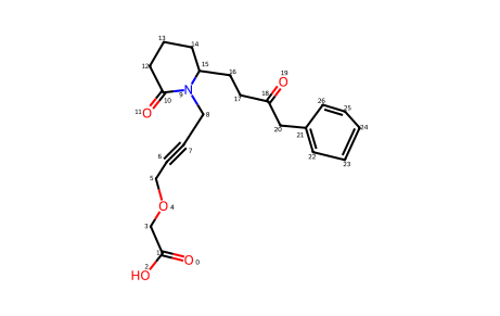 O=C(O)COCC#CCN1C(=O)CCCC1CCC(=O)Cc1ccccc1